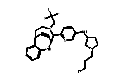 FCCCN1CCC(Nc2ccc(C3C4C#CC(CCN3CC(F)(F)F)c3ccccc3N4)nc2)C1